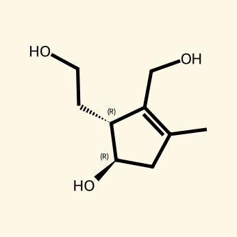 CC1=C(CO)[C@@H](CCO)[C@H](O)C1